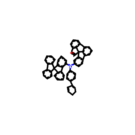 C1=CC(c2ccc(N(c3ccc4c(c3)C35C6=C(C=CCC6)c6cccc(c63)-c3cccc-4c35)c3cccc4c3-c3ccccc3C43c4ccccc4-c4ccccc43)cc2)=CCC1